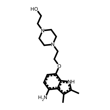 Cc1[nH]c2c(OCCN3CCN(CCO)CC3)ccc(N)c2c1C